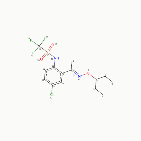 CCC(CC)O/N=C(\C)c1cc(Cl)ccc1NS(=O)(=O)C(F)(F)F